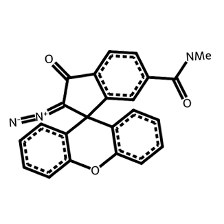 CNC(=O)c1ccc2c(c1)C1(C(=[N+]=[N-])C2=O)c2ccccc2Oc2ccccc21